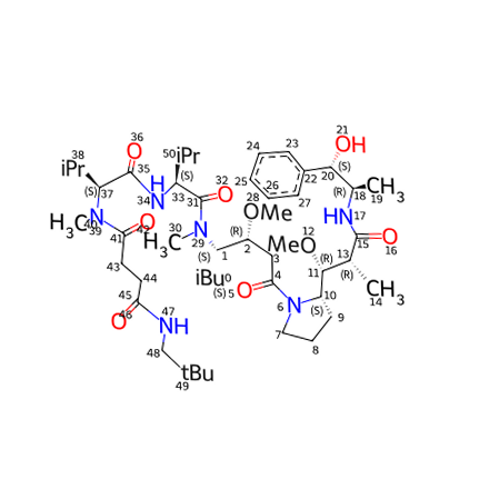 CC[C@H](C)[C@@H]([C@@H](CC(=O)N1CCC[C@H]1[C@H](OC)[C@@H](C)C(=O)N[C@H](C)[C@@H](O)c1ccccc1)OC)N(C)C(=O)[C@@H](NC(=O)[C@H](C(C)C)N(C)C(=O)CCC(=O)NCC(C)(C)C)C(C)C